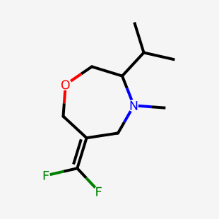 CC(C)C1COCC(=C(F)F)CN1C